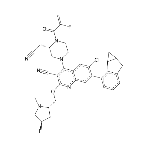 C=C(F)C(=O)N1CCN(c2c(C#N)c(OC[C@@H]3C[C@@H](F)CN3C)nc3cc(-c4cccc5c4C4CC4C5)c(Cl)cc23)C[C@@H]1CC#N